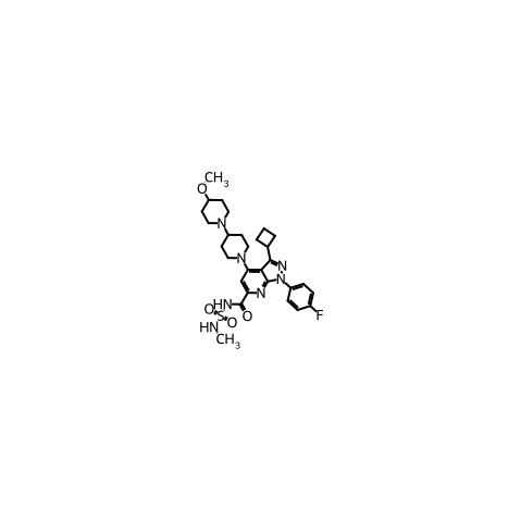 CNS(=O)(=O)NC(=O)c1cc(N2CCC(N3CCC(OC)CC3)CC2)c2c(C3CCC3)nn(-c3ccc(F)cc3)c2n1